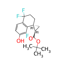 CC(C)(C)OC(=O)[C@@H]1C[C@]12CCC(F)(F)c1ccc(O)c(F)c12